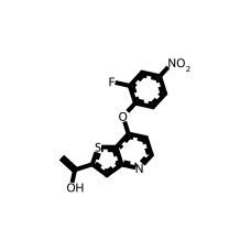 C=C(O)c1cc2nccc(Oc3ccc([N+](=O)[O-])cc3F)c2s1